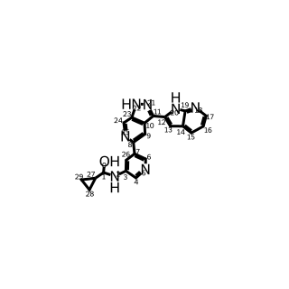 OC(Nc1cncc(-c2cc3c(-c4cc5cccnc5[nH]4)n[nH]c3cn2)c1)C1CC1